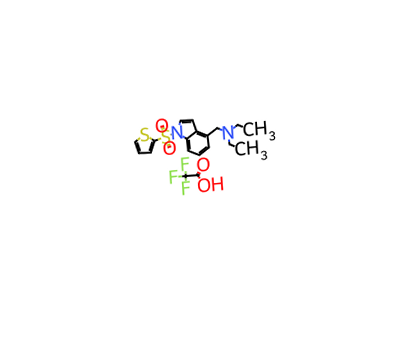 CCN(CC)Cc1cccc2c1ccn2S(=O)(=O)c1cccs1.O=C(O)C(F)(F)F